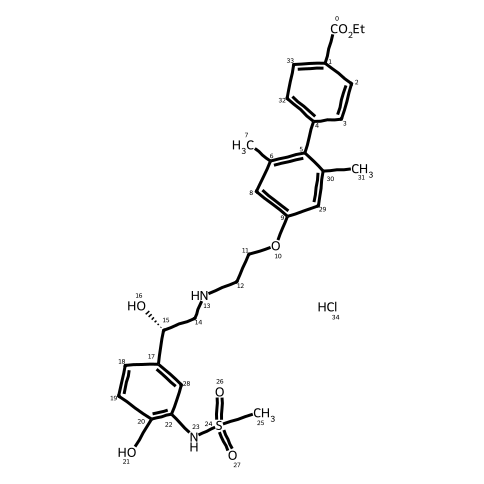 CCOC(=O)c1ccc(-c2c(C)cc(OCCNC[C@@H](O)c3ccc(O)c(NS(C)(=O)=O)c3)cc2C)cc1.Cl